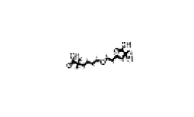 CC(C)(CCCCOCCCCC(C)(Cl)C(=O)O)C(=O)O